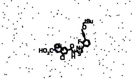 C/C(=C\c1c(Cl)cc(C(=O)Nc2nc(-c3cccc(C#CCOCC(C)(C)C)c3F)cs2)cc1Cl)C(=O)O